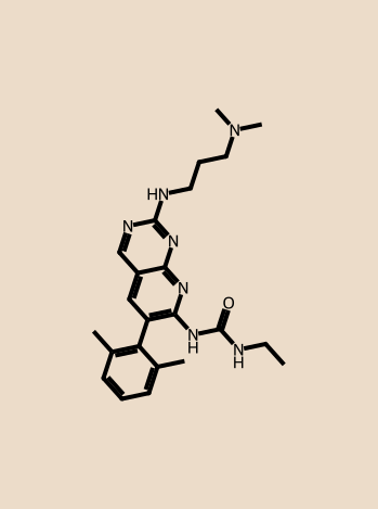 CCNC(=O)Nc1nc2nc(NCCCN(C)C)ncc2cc1-c1c(C)cccc1C